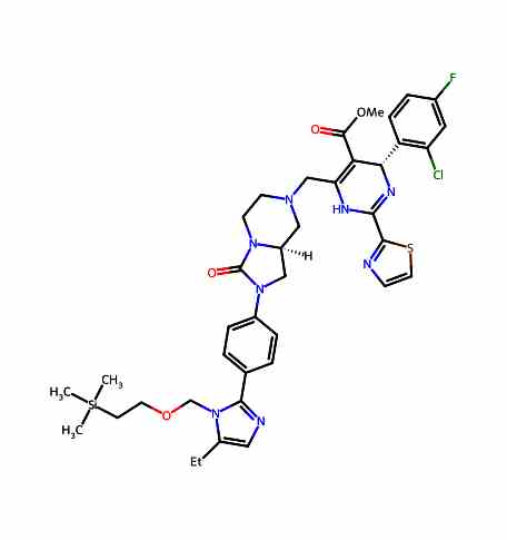 CCc1cnc(-c2ccc(N3C[C@@H]4CN(CC5=C(C(=O)OC)[C@H](c6ccc(F)cc6Cl)N=C(c6nccs6)N5)CCN4C3=O)cc2)n1COCC[Si](C)(C)C